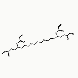 C=CC(=O)OCC(CCCOCCCOCCCC(COC(=O)C=C)OC(=O)C=C)OC(=O)C=C